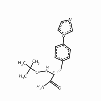 CC(C)(C)ON[C@H](Cc1ccc(-n2ccnc2)cc1)C(N)=O